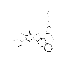 CCCCC(=O)NC1CCc2c(C)c(F)cc3nc4c(c1c23)Cn1c-4cc(C(C=O)CC)c(COC)c1=O